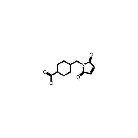 O=C(Cl)C1CCC(CN2C(=O)C=CC2=O)CC1